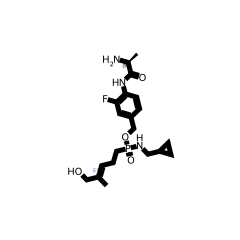 C/C(=C\CCP(=O)(NCC1CC1)OCc1ccc(NC(=O)[C@H](C)N)c(F)c1)CO